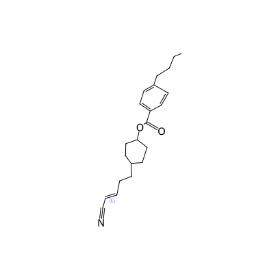 CCCCc1ccc(C(=O)OC2CCC(CC/C=C/C#N)CC2)cc1